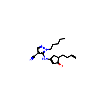 C=CCCC1CC(Nc2c(C#N)cnn2CCCCC)=CC1=O